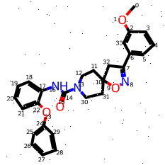 COc1cccc(C2=NOC3(CCN(C(=O)Nc4ccccc4Oc4ccccc4)CC3)C2)c1